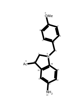 COc1ccc(CN2CC(C(C)=O)c3cc(N)ccc32)cc1